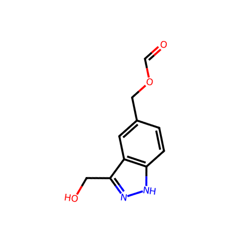 O=COCc1ccc2[nH]nc(CO)c2c1